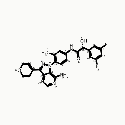 Cc1cc(NC(=O)[C@H](O)c2cc(F)cc(F)c2)ccc1-n1nc(C2=CCOCC2)c2ncnc(N)c21